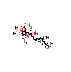 Cc1c(C)c(O)c(CC(C)C)c(CC[C@](C)(O)CCC[C@H](C)CCC[C@H](C)CCCC(C)C)c1O